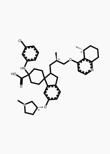 C[C@@H](COc1ccnc2c1[C@H](C)CCC2)CC1Cc2ccc(O[C@@H]3CCN(C)C3)cc2C12CCC(Nc1cccc(Cl)c1)(C(=O)O)CC2